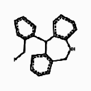 ICc1ccccc1C1c2ccccc2CNc2ccccc21